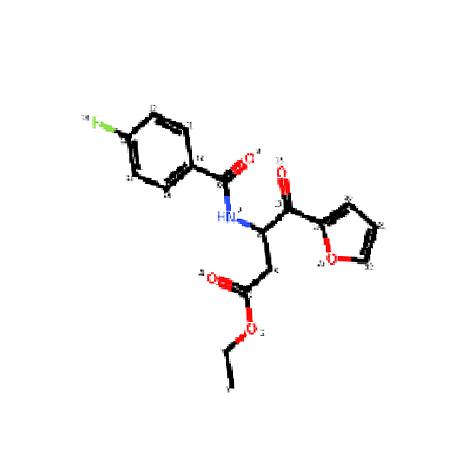 CCOC(=O)CC(NC(=O)c1ccc(F)cc1)C(=O)c1ccco1